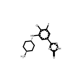 N[C@H]1CC[C@H](Nc2cc(-c3n[nH]c(=O)o3)cc(F)c2Cl)CC1